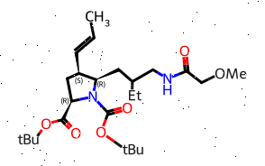 CC=C[C@@H]1C[C@H](C(=O)OC(C)(C)C)N(C(=O)OC(C)(C)C)[C@@H]1CC(CC)CNC(=O)COC